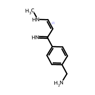 CN/C=C\C(=N)c1ccc(CN)cc1